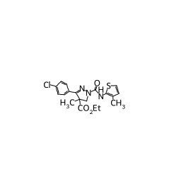 CCOC(=O)C1(C)CN(C(=O)Nc2sccc2C)N=C1c1ccc(Cl)cc1